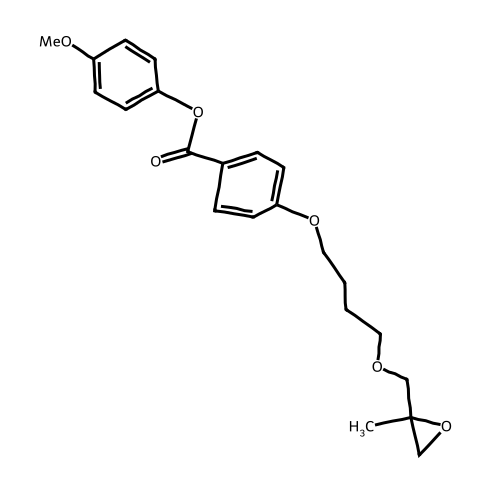 COc1ccc(OC(=O)c2ccc(OCCCCOCC3(C)CO3)cc2)cc1